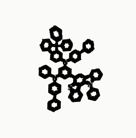 c1ccc(-c2ccc(N(c3ccccc3)c3cc(-c4cc5c6ccccc6n(-c6ccccc6)c5c5c4sc4ccccc45)cc(N(c4ccc(-c5ccccc5)cc4)c4ccc5c(c4)C(c4ccccc4)(c4ccccc4)c4ccccc4-5)c3)cc2)cc1